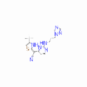 CC(C)(C)C1=CS/C(=C(\C#N)c2ccnc(NCCCn3cncn3)n2)N1